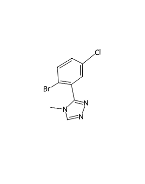 Cn1cnnc1-c1cc(Cl)ccc1Br